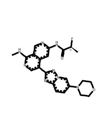 CNc1ncc(-c2nc3ccc(N4CCOCC4)cn3n2)c2cc(NC(=O)[C@H](C)F)ncc12